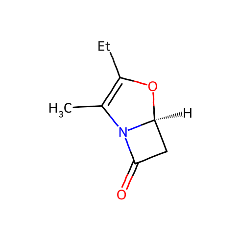 CCC1=C(C)N2C(=O)C[C@@H]2O1